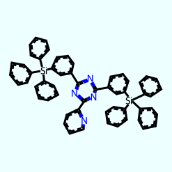 c1ccc([Si](c2ccccc2)(c2ccccc2)c2cccc(-c3nc(-c4cccc([Si](c5ccccc5)(c5ccccc5)c5ccccc5)c4)nc(-c4ccccn4)n3)c2)cc1